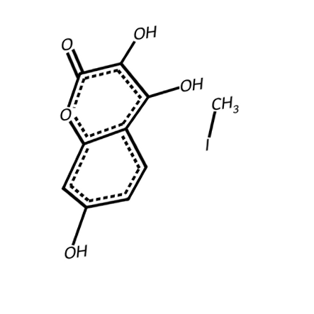 CI.O=c1oc2cc(O)ccc2c(O)c1O